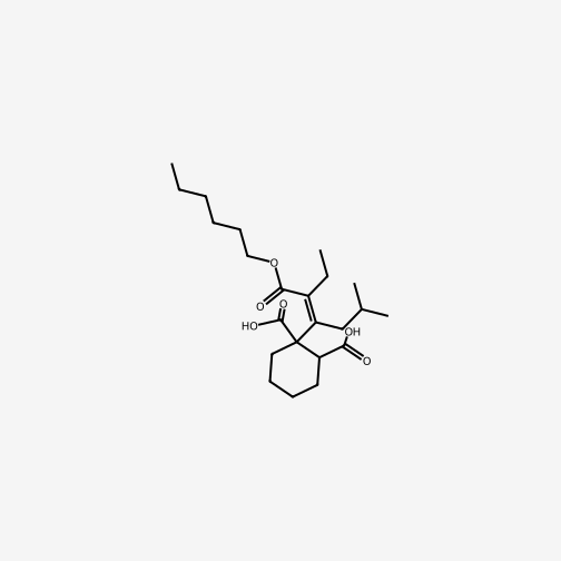 CCCCCCOC(=O)C(CC)=C(CC(C)C)C1(C(=O)O)CCCCC1C(=O)O